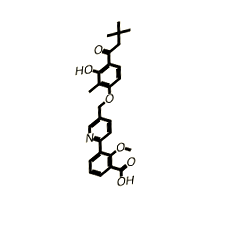 COc1c(C(=O)O)cccc1-c1ccc(COc2ccc(C(=O)CC(C)(C)C)c(O)c2C)cn1